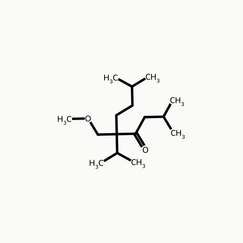 COCC(CCC(C)C)(C(=O)CC(C)C)C(C)C